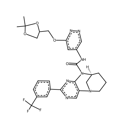 CC1(C)OCC(COc2cc(NC(=O)N3c4nc(-c5cccc(C(F)(F)F)c5)ncc4N4CCC[C@H]3C4)cnn2)O1